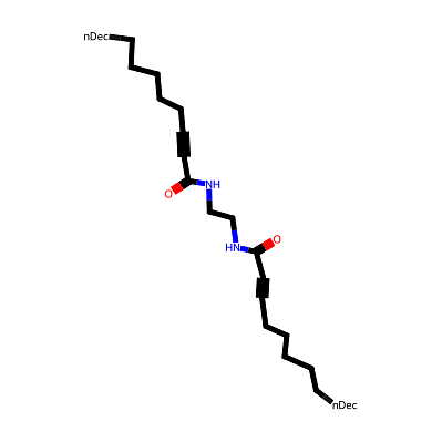 CCCCCCCCCCCCCCCC#CC(=O)NCCNC(=O)C#CCCCCCCCCCCCCCCC